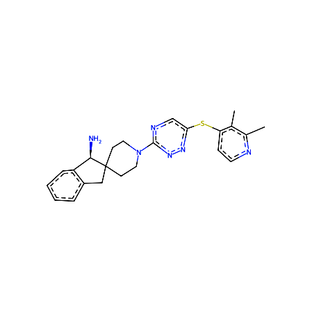 Cc1nccc(Sc2cnc(N3CCC4(CC3)Cc3ccccc3[C@H]4N)nn2)c1C